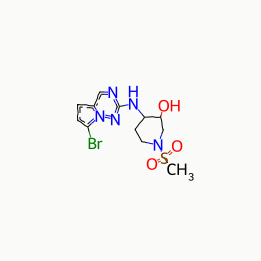 CS(=O)(=O)N1CCC(Nc2ncc3ccc(Br)n3n2)C(O)C1